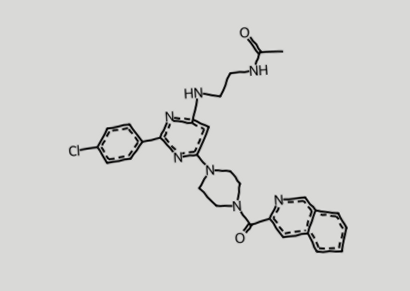 CC(=O)NCCNc1cc(N2CCN(C(=O)c3cc4ccccc4cn3)CC2)nc(-c2ccc(Cl)cc2)n1